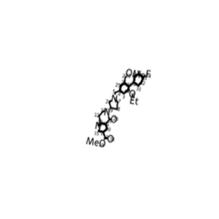 CCOc1cc(CN2CCC(N3CCc4ncc(C(=O)OC)cc4C3=O)C2)cc(COC)c1-c1ccc(F)cc1